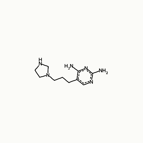 Nc1ncc(CCCN2CCNC2)c(N)n1